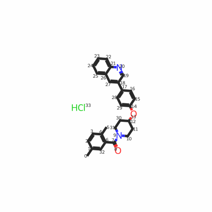 Cc1ccc(C)c(C(=O)N2CCC(Oc3ccc(-c4cnc5ccccc5c4)cc3)CC2)c1.Cl